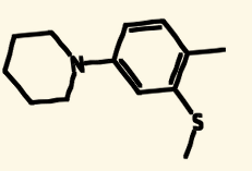 CSc1cc(N2CCCCC2)ccc1C